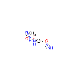 Cn1nccc1C(=O)NCC(=O)Nc1ccc(CCC(=O)N2CCNCC2)cc1